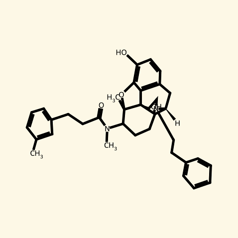 Cc1cccc(CCC(=O)N(C)C2CC[C@@]3(O)[C@H]4Cc5ccc(O)c6c5[C@@]3(CCN4CCc3ccccc3)C2(C)O6)c1